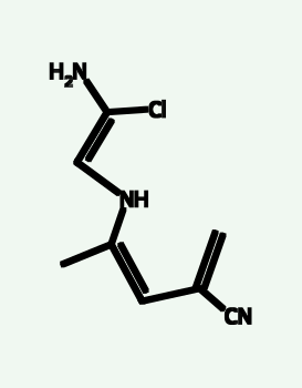 C=C(C#N)/C=C(/C)N/C=C(/N)Cl